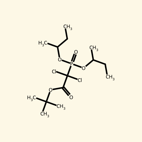 CCC(C)OP(=O)(OC(C)CC)C(Cl)(Cl)C(=O)OC(C)(C)C